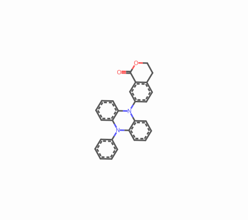 O=C1OCCc2ccc(N3c4ccccc4N(c4ccccc4)c4ccccc43)cc21